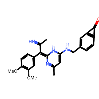 COc1ccc(/C(C(C)=N)=C2\N=C(C)C=C(NCc3ccc4c(=O)c4c3)N2)cc1OC